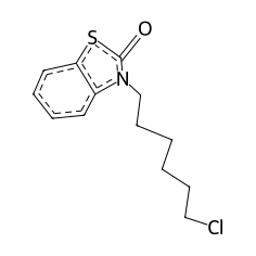 O=c1sc2ccccc2n1CCCCCCCl